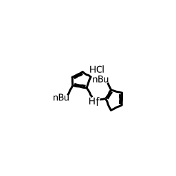 CCCCC1=[C]([Hf][C]2=C(CCCC)C=CC2)CC=C1.Cl